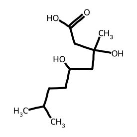 CC(C)CCC(O)CC(C)(O)CC(=O)O